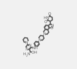 NC(O)c1ncc(N2CCCCC2)nc1Nc1ccc(N2CCC(N3CCc4c(ccc5c(C6CCC(=O)NC6=O)noc45)C3)CC2)cc1